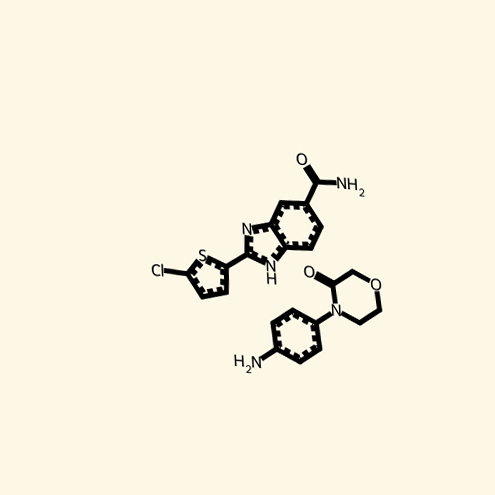 NC(=O)c1ccc2[nH]c(-c3ccc(Cl)s3)nc2c1.Nc1ccc(N2CCOCC2=O)cc1